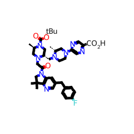 C[C@@H]1CN(c2cnc(C(=O)O)cn2)CCN1C[C@H]1CN(C(=O)OC(C)(C)C)[C@H](C)CN1CC(=O)N1CC(C)(C)c2ncc(Cc3ccc(F)cc3)cc21